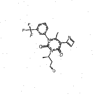 Cc1c(C2=CC=N2)c(=O)n([C@H](C)CC=O)c(=O)n1-c1cccc(C(F)(F)F)c1